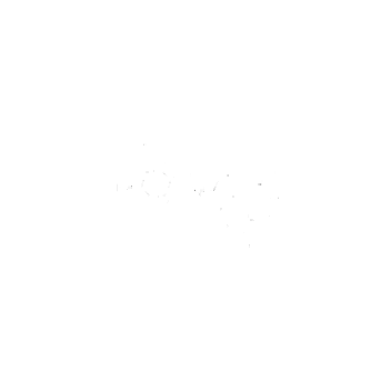 COc1cc(CNC(=O)CC2CC(C)CCC2C(C)C)ccc1O